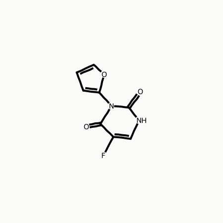 O=c1[nH]cc(F)c(=O)n1-c1ccco1